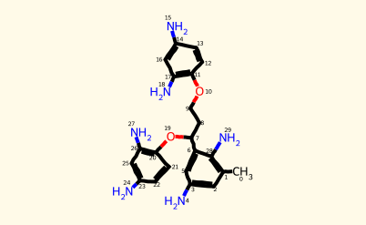 Cc1cc(N)cc(C(CCOc2ccc(N)cc2N)Oc2ccc(N)cc2N)c1N